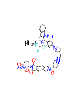 C[C@@H]1Cc2c([nH]c3ccccc23)[C@@H](c2c(F)cc(N3CC[C@@H](CN4CCC(C(=O)N5Cc6cc7c(cc6C5)C(=O)N(C5CCC(=O)NC5=O)C7=O)CC4)C3)cc2F)N1CC(F)F